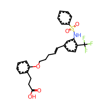 O=C(O)CCc1ccccc1OCCC/C=C/c1ccc(C(F)(F)F)c(NS(=O)(=O)c2ccccc2)c1